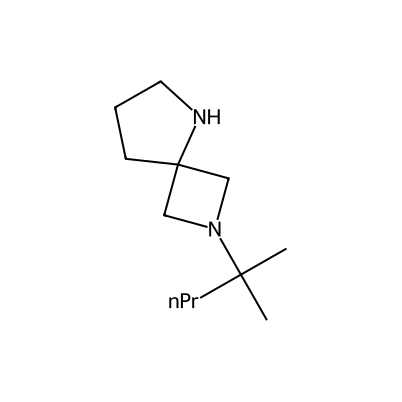 CCCC(C)(C)N1CC2(CCCN2)C1